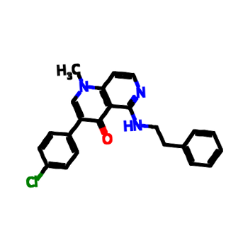 Cn1cc(-c2ccc(Cl)cc2)c(=O)c2c(NCCc3ccccc3)nccc21